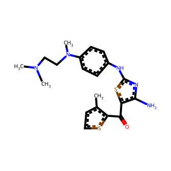 Cc1ccsc1C(=O)c1sc(Nc2ccc(N(C)CCN(C)C)cc2)nc1N